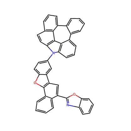 c1ccc2c(c1)-c1cccc3ccc4c(c13)c1c-2cccc1n4-c1ccc2oc3c4ccccc4c(-c4nc5ccccc5o4)cc3c2c1